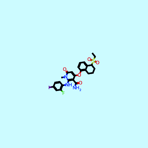 CCS(=O)(=O)C1CCCc2c(Oc3cc(=O)n(C)c(Nc4ccc(I)cc4F)c3C(N)=O)cccc21